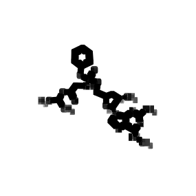 CNc1nc(N)nc2c1ncn2[C@@H]1OC(CO[P@@](=O)(NCC(=O)OC(C)C)Oc2ccccc2)C[C@@H]1C